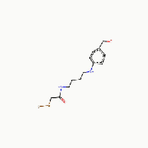 O=Cc1ccc(NCCCCNC(=O)CSS)cc1